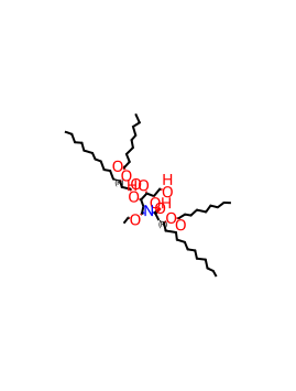 CCCCCCCCCCC[C@H](CC(=O)OC(C(O)C(O)CO)C1C(OCC)N1C(=O)C[C@@H](CCCCCCCCCCC)OC(=O)CCCCCCCC)OC(=O)CCCCCCCC